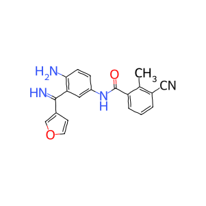 Cc1c(C#N)cccc1C(=O)Nc1ccc(N)c(C(=N)c2ccoc2)c1